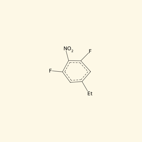 CCc1cc(F)c([N+](=O)[O-])c(F)c1